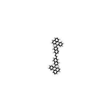 C(=C\c1ccc2cc(N(c3ccccc3)c3cccc4ccccc34)ccc2c1)/c1ccc2cc(N(c3ccccc3)c3cccc4ccccc34)ccc2c1